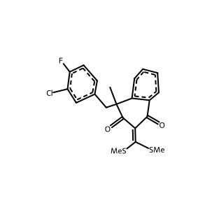 CSC(SC)=C1C(=O)c2ccccc2C(C)(Cc2ccc(F)c(Cl)c2)C1=O